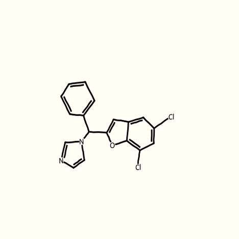 Clc1cc(Cl)c2oc(C(c3ccccc3)n3ccnc3)cc2c1